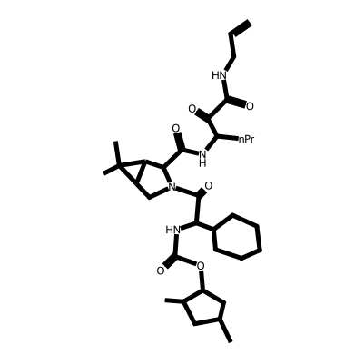 C=CCNC(=O)C(=O)C(CCC)NC(=O)C1C2C(CN1C(=O)C(NC(=O)OC1CC(C)CC1C)C1CCCCC1)C2(C)C